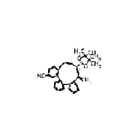 C=C1/C=C(B2OC(C)(C)C(C)(C)O2)\C=C/Cc2ccc(C#N)cc2-c2ccccc2-c2ccccc21